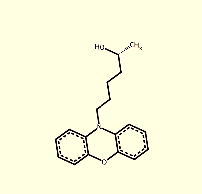 C[C@@H](O)CCCCN1c2ccccc2Oc2ccccc21